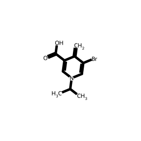 C=C1C(Br)=CN(C(C)C)C=C1C(=O)O